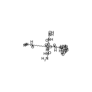 CC(=O)NC1C(OC(C)=O)[C@@H](OC(C)=O)C(COC(C)=O)O[C@H]1ONCCCNC(=O)CCOCC(COCCC(=O)NCCCN)(COCCC(=O)NCCCNCO)NC(=O)CCCCCCCCCCC(=O)NCCCN=[N+]=[N-]